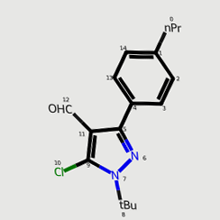 CCCc1ccc(-c2nn(C(C)(C)C)c(Cl)c2C=O)cc1